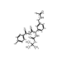 CC(C)(C)OC(=O)NN(C(=O)NC(=O)c1ccc(I)cc1)c1cccc(CNC(=O)I)c1